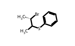 CC(Sc1ccccc1)[C@H](C)Br